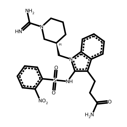 N=C(N)N1CCC[C@@H](Cn2c(NS(=O)(=O)c3ccccc3[N+](=O)[O-])c(CCC(N)=O)c3ccccc32)C1